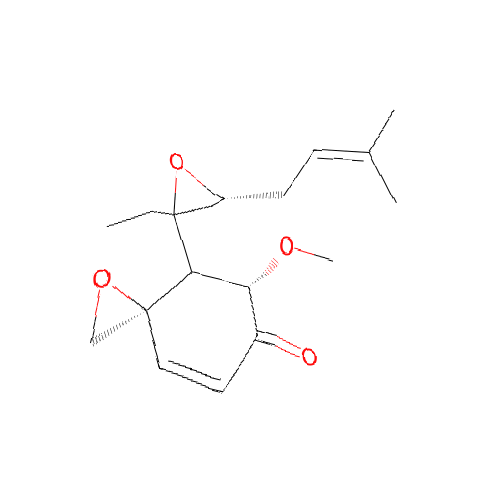 CO[C@@H]1C(=O)C=C[C@]2(CO2)C1C1(C)O[C@@H]1CC=C(C)C